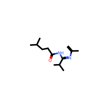 C=C(C)/N=C(\NC(=O)CCC(C)C)C(C)C